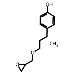 C.Oc1ccc(CCCOCC2CO2)cc1